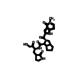 Cn1ccc2[nH]c(C(=O)N3CC4CCCC4C3C(=O)NC(CC3CCNC3=O)C(=O)CO)cc2c1=O